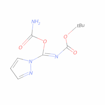 CC(C)(C)OC(=O)N=C(OC(N)=O)n1cccn1